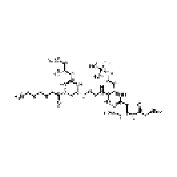 CCCCCCCCCCCC(=O)O[C@H](CCCCCCCCCCC)CC(=O)N[C@H](CCOP(=O)(O)O)C(=O)NCCC[C@H](COC(=O)CCCCCN)NC(=O)C[C@H](O)CCCCCCCCCCC